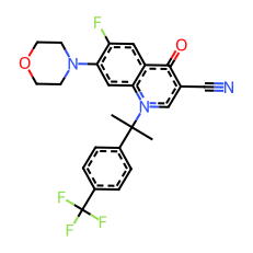 CC(C)(c1ccc(C(F)(F)F)cc1)n1cc(C#N)c(=O)c2cc(F)c(N3CCOCC3)cc21